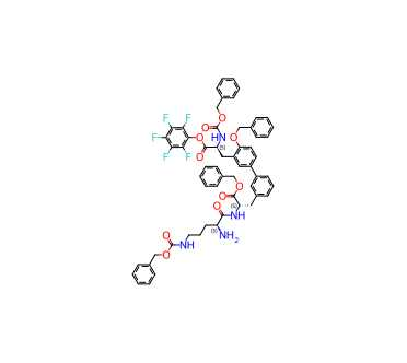 N[C@@H](CCCNC(=O)OCc1ccccc1)C(=O)N[C@@H](Cc1cccc(-c2ccc(OCc3ccccc3)c(C[C@H](NC(=O)OCc3ccccc3)C(=O)Oc3c(F)c(F)c(F)c(F)c3F)c2)c1)C(=O)OCc1ccccc1